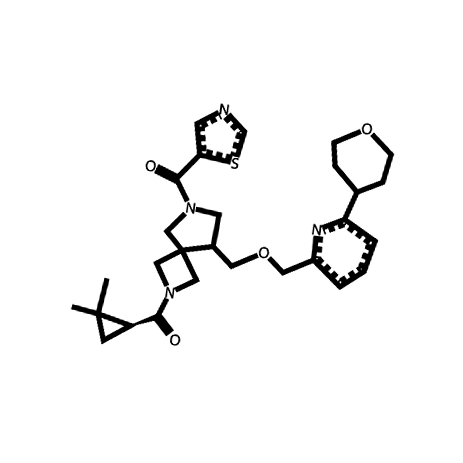 CC1(C)C[C@@H]1C(=O)N1CC2(CN(C(=O)c3cncs3)CC2COCc2cccc(C3CCOCC3)n2)C1